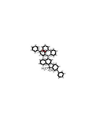 CC1(C)c2cc(-c3ccccc3)ccc2-c2cc(N(c3ccc(-c4ccccc4)cc3)c3ccccc3-c3ccccc3)c3ccccc3c21